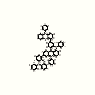 c1ccc(N2c3ccccc3Sc3c(-c4ccc5c(c4)N(c4ccccc4)c4cccc6c4B5c4ccc(-c5cccc7c5Sc5ccccc5N7c5ccccc5)cc4N6c4ccccc4)cccc32)cc1